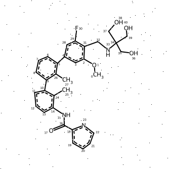 COc1cc(-c2cccc(-c3cccc(NC(=O)c4ccccn4)c3C)c2C)cc(F)c1CNC(CO)(CO)CO